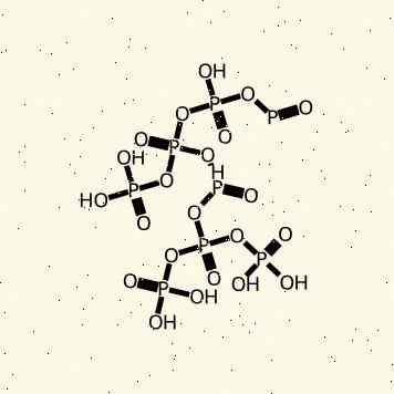 O=POP(=O)(O)OP(=O)(O[PH](=O)OP(=O)(OP(=O)(O)O)OP(=O)(O)O)OP(=O)(O)O